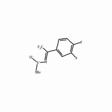 CC(C)(C)[S+]([O-])N=C(c1ccc(F)c(F)c1)C(F)(F)F